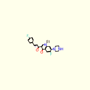 CCn1cc(C(=O)/C=C/c2ccc(F)cc2)c(=O)c2cc(F)c(N3CCNCC3)cc21